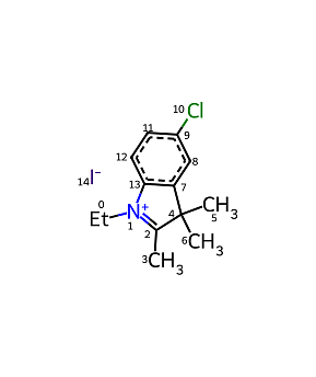 CC[N+]1=C(C)C(C)(C)c2cc(Cl)ccc21.[I-]